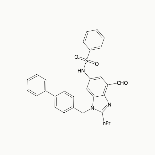 CCCc1nc2c(C=O)cc(NS(=O)(=O)c3ccccc3)cc2n1Cc1ccc(-c2ccccc2)cc1